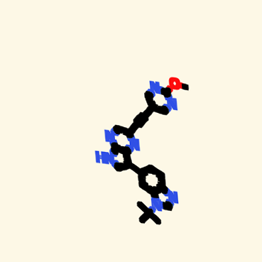 COc1ncc(C#Cc2cnc3[nH]cc(-c4ccc5ncn(C(C)(C)C)c5c4)c3n2)cn1